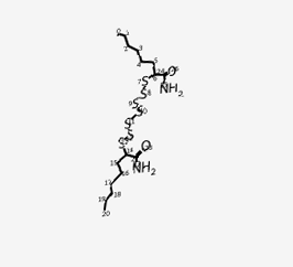 CCCCCCC(SSSSSSSC(CCCCCC)C(N)=O)C(N)=O